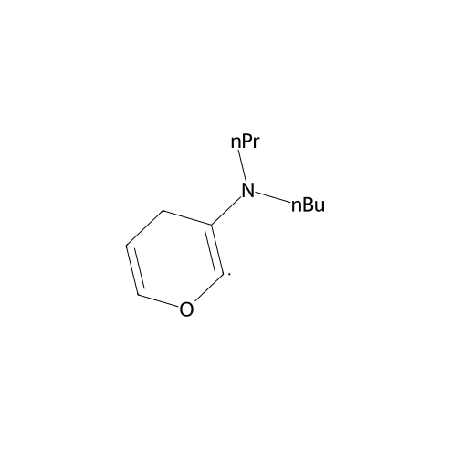 CCCCN(CCC)C1=[C]OC=CC1